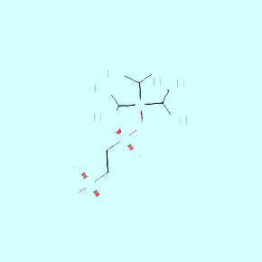 CC(C)[Si](OS(=O)(=O)CCS(=O)(=O)[O-])(C(C)C)C(C)C.[Li+]